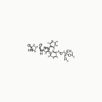 CC(C)(C)COCc1cccc(-c2cc(NC(=O)[C@@H]3CNC(=O)C3)nn2-c2ccccc2)c1